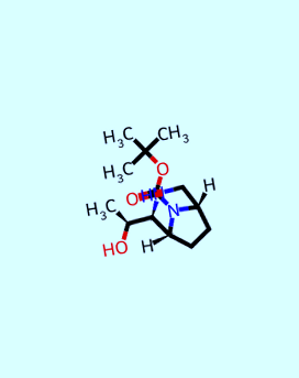 C[C@H](O)[C@H]1NC[C@@H]2CC[C@H]1N2C(=O)OC(C)(C)C